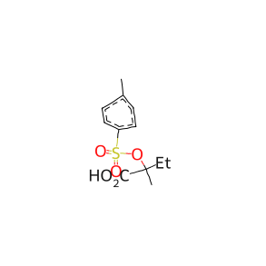 CCC(C)(OS(=O)(=O)c1ccc(C)cc1)C(=O)O